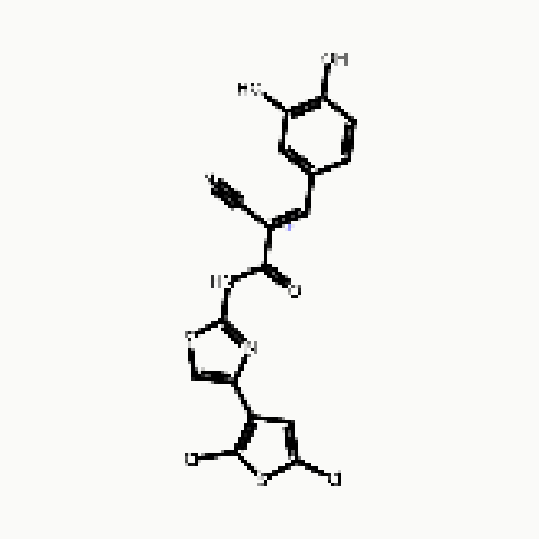 N#C/C(=C\c1ccc(O)c(O)c1)C(=O)Nc1nc(-c2cc(Cl)sc2Cl)cs1